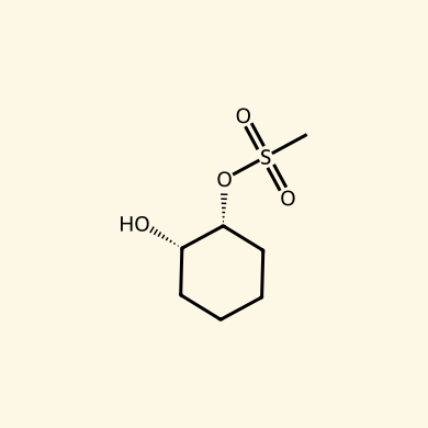 CS(=O)(=O)O[C@@H]1CCCC[C@@H]1O